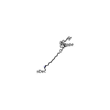 CCCCCCCCCCC/C=C\CCCCCCCCCOC[C@H](COC)OP(=O)([O-])OCC[N+](C)(C)C